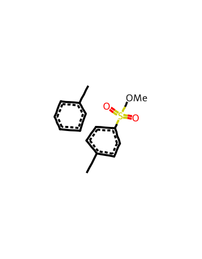 COS(=O)(=O)c1ccc(C)cc1.Cc1ccccc1